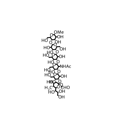 CO[C@@H]1OC(CO)[C@@H](O[C@@H]2OC(CO)[C@H](O[C@H]3OC(CO)[C@H](O)[C@H](O[C@@H]4OC(CO)[C@H](O)[C@H](O[C@@H]5OC(CO)[C@H](O)[C@H](O[C@]6(OC=O)C[C@@H](O)[C@@H](C)C([C@H](O)[C@H](O)CO)O6)C5O)C4NC(C)=O)C3O)[C@H](O)C2O)[C@H](O)C1O